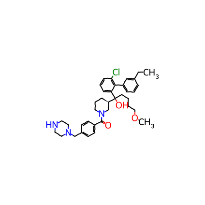 CCc1cccc(-c2c(Cl)cccc2[C@](O)(CCCCOC)[C@@H]2CCCN(C(=O)c3ccc(CN4CCNCC4)cc3)C2)c1